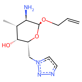 C=CCO[C@H]1O[C@H](Cn2ccnn2)[C@H](O)[C@H](C)[C@H]1N